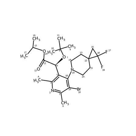 Cc1nc(C)c([C@H](OC(C)(C)C)C(=O)OC(C)C)c(N2CCC3(CC2)CC3(F)F)c1Br